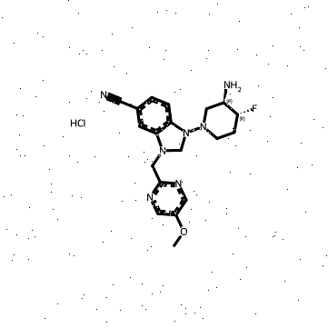 COc1cnc(CN2CN(N3CC[C@@H](F)[C@H](N)C3)c3ccc(C#N)cc32)nc1.Cl